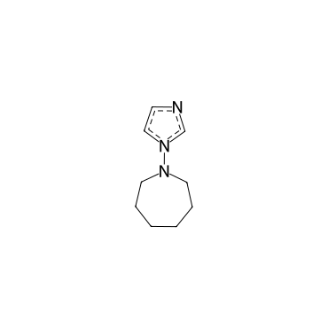 c1cn(N2CCCCCC2)cn1